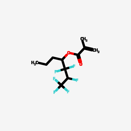 C=C(C)C(=O)OC(CCC)C(F)(F)C(F)C(F)(F)F